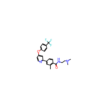 Cc1cc(-c2cc(Oc3ccc(C(F)(F)F)cc3)ccn2)ccc1C(=O)NCCN(C)C